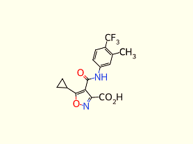 Cc1cc(NC(=O)c2c(C(=O)O)noc2C2CC2)ccc1C(F)(F)F